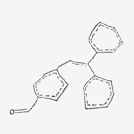 O=Cc1ccc(C=C(c2ccccc2)c2ccccc2)cc1